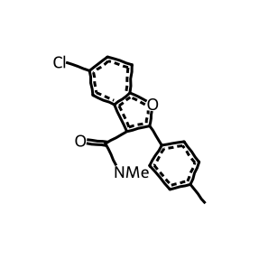 CNC(=O)c1c(-c2ccc(C)cc2)oc2ccc(Cl)cc12